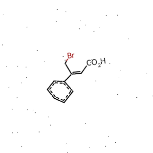 O=C(O)C=C(CBr)c1ccccc1